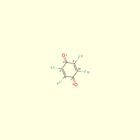 O=C1C(F)=C(F)C(=O)C(F)=C1F